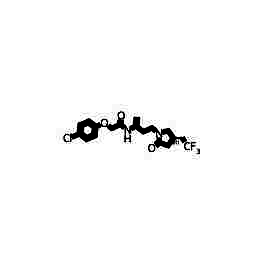 C=C(CCN1C[C@@H](CC(F)(F)F)CC1=O)NC(=O)COc1ccc(Cl)cc1